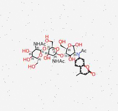 CC(=O)N[C@H]1[C@H](O[C@H]2[C@H](O)[C@@H](N(C(C)=O)c3ccc4c(C)cc(=O)oc4c3)C(O)O[C@@H]2CO)O[C@H](CO)[C@@H](O[C@@H]2O[C@H](CO)[C@@H](O)[C@H](O)[C@H]2NC(C)=O)[C@@H]1O